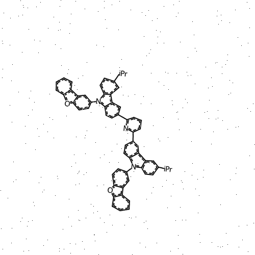 CC(C)c1ccc2c(c1)c1cc(-c3cccc(-c4ccc5c(c4)c4cc(C(C)C)ccc4n5-c4ccc5oc6ccccc6c5c4)n3)ccc1n2-c1ccc2oc3ccccc3c2c1